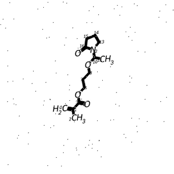 C=C(C)C(=O)OCCCOC(C)N1CCCC1=O